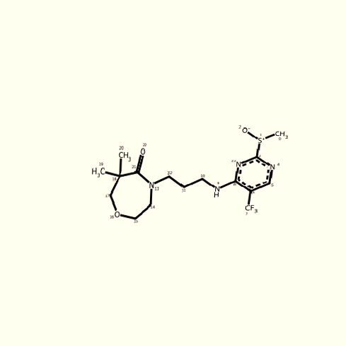 C[S+]([O-])c1ncc(C(F)(F)F)c(NCCCN2CCOCC(C)(C)C2=O)n1